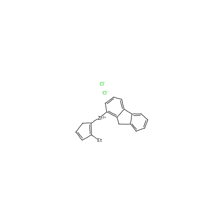 CCC1=[C]([Zr+2][c]2cccc3c2Cc2ccccc2-3)CC=C1.[Cl-].[Cl-]